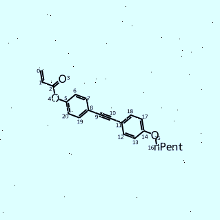 C=CC(=O)Oc1ccc(C#Cc2ccc(OCCCCC)cc2)cc1